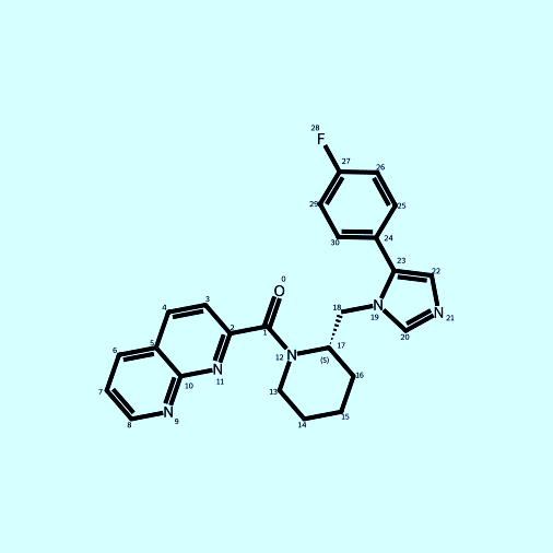 O=C(c1ccc2cccnc2n1)N1CCCC[C@H]1Cn1cncc1-c1ccc(F)cc1